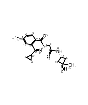 Cc1ccc2c(=O)n(CC(=O)N[C@H]3C[C@@](C)(O)C3)nc(C3CC3)c2c1